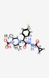 C[C@@H]1CN(C(=O)O)[C@@H](C)CN1C(C(=O)NNC(=O)C1CC1)c1ccc(F)cc1